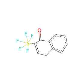 O=C1C(S(F)(F)(F)(F)F)=CCc2ccccc21